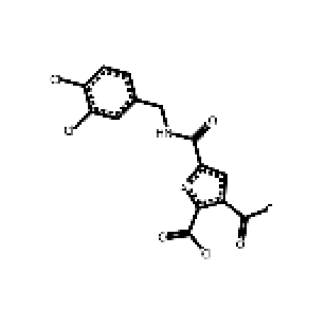 O=C(NCc1ccc(Cl)c(Cl)c1)c1cc(C(=O)Cl)c(C(=O)Cl)s1